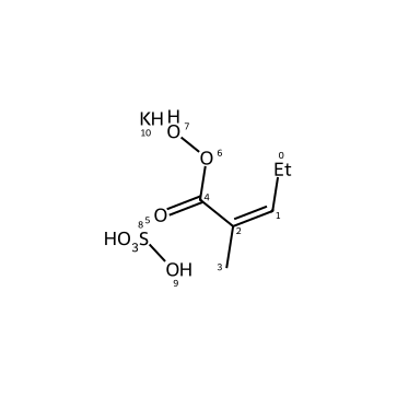 CCC=C(C)C(=O)OO.O=S(=O)(O)O.[KH]